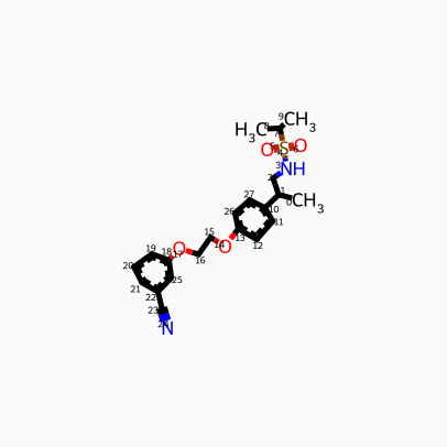 CC(CNS(=O)(=O)C(C)C)c1ccc(OCCOc2cccc(C#N)c2)cc1